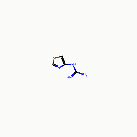 N=C(N)Nc1cs[c]n1